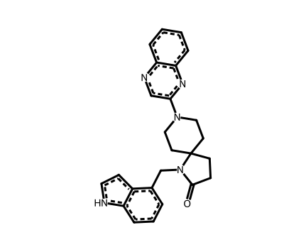 O=C1CCC2(CCN(c3cnc4ccccc4n3)CC2)N1Cc1cccc2[nH]ccc12